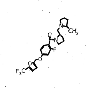 CC1CCCN1CC1CCCN1C(=O)c1ccc(OCc2ccc(C(F)(F)F)o2)cc1F